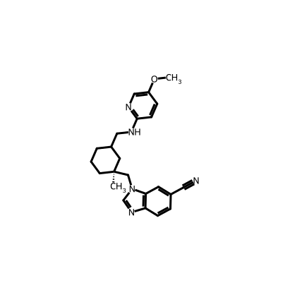 COc1ccc(NCC2CCC[C@](C)(Cn3cnc4ccc(C#N)cc43)C2)nc1